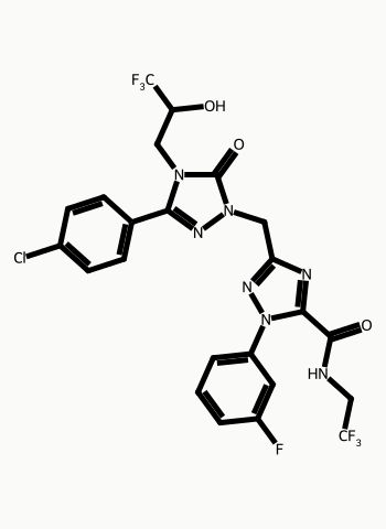 O=C(NCC(F)(F)F)c1nc(Cn2nc(-c3ccc(Cl)cc3)n(CC(O)C(F)(F)F)c2=O)nn1-c1cccc(F)c1